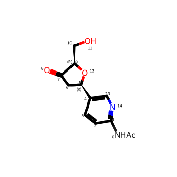 CC(=O)Nc1ccc([C@H]2CC(=O)[C@@H](CO)O2)cn1